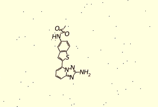 CS(=O)(=O)Nc1ccc2sc(-c3cccc4nc(N)nn34)cc2c1